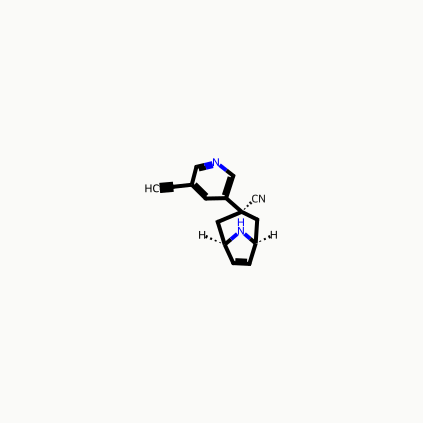 C#Cc1cncc([C@@]2(C#N)C[C@H]3C=C[C@@H](C2)N3)c1